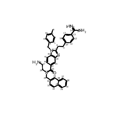 Cc1ccc(Cn2c(CCc3ccc(C(=N)N)cc3)nc3cc(C(=O)N(CCN)Cc4ccc5ccccc5c4)ccc32)cc1